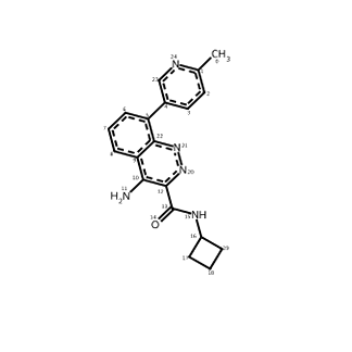 Cc1ccc(-c2cccc3c(N)c(C(=O)NC4CCC4)nnc23)cn1